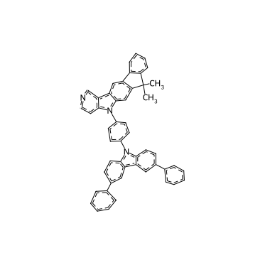 CC1(C)c2ccccc2-c2cc3c4cnccc4n(-c4ccc(-n5c6ccc(-c7ccccc7)cc6c6cc(-c7ccccc7)ccc65)cc4)c3cc21